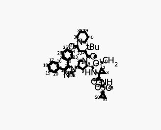 C=C[C@@H]1C[C@]1(NC(=O)[C@@H]1C[C@@H](n2nnc(-c3ccccc3)c2-c2ccccc2)CN1C(=O)[C@@H](CC(=O)N1CCCCC1)C(C)(C)C)C(=O)NS(=O)(=O)C1CC1